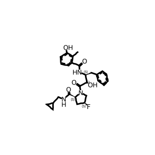 Cc1c(O)cccc1C(=O)N[C@@H](Cc1ccccc1)[C@H](O)C(=O)N1C[C@@H](F)C[C@H]1C(=O)NCC1CC1